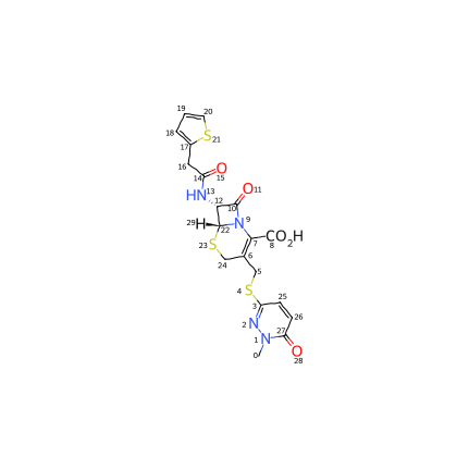 Cn1nc(SCC2=C(C(=O)O)N3C(=O)[C@@H](NC(=O)Cc4cccs4)[C@H]3SC2)ccc1=O